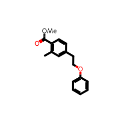 COC(=O)c1ccc(CCOc2ccccc2)cc1C